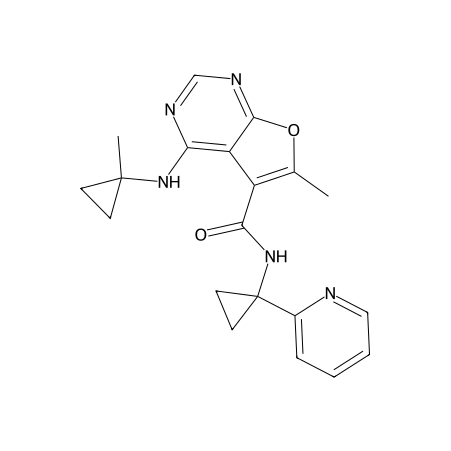 Cc1oc2ncnc(NC3(C)CC3)c2c1C(=O)NC1(c2ccccn2)CC1